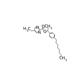 CCCCCCCCc1ccc(C(CC)OC(=O)c2ncc(CC)cn2)cc1